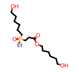 CCP(=O)(CCCCCCO)CCC(=O)OCCCCCCO